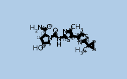 Cc1nc(NC(=O)N2C[C@H](O)C[C@H]2C(N)=O)sc1-c1csc(C2(C)CC2)n1